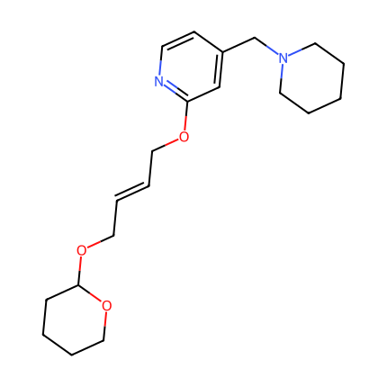 C(=CCOC1CCCCO1)COc1cc(CN2CCCCC2)ccn1